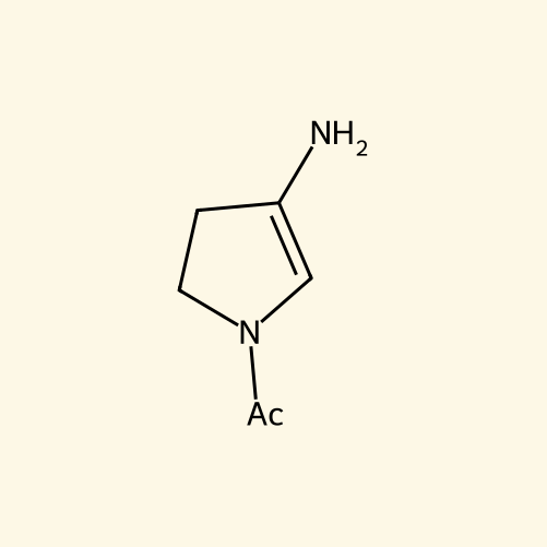 CC(=O)N1C=C(N)CC1